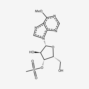 COc1ncnc2c1ncn2[C@@H]1O[C@H](CO)[C@H](OS(C)(=O)=O)[C@H]1O